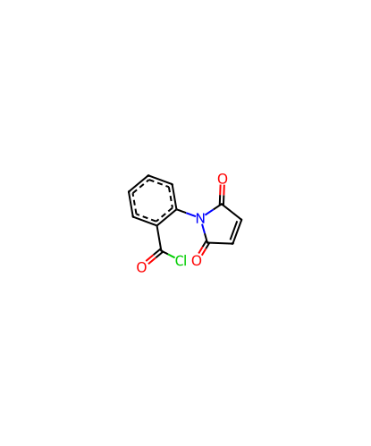 O=C(Cl)c1ccccc1N1C(=O)C=CC1=O